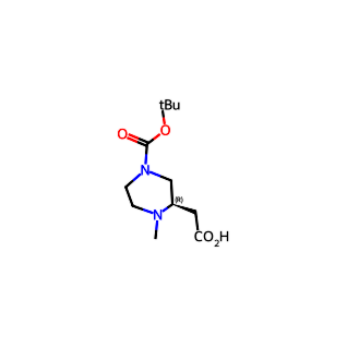 CN1CCN(C(=O)OC(C)(C)C)C[C@H]1CC(=O)O